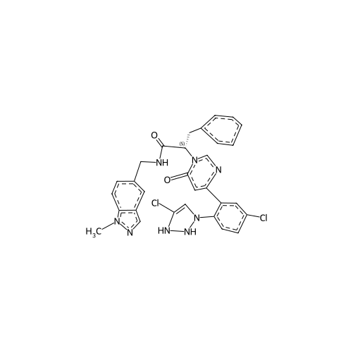 Cn1ncc2cc(CNC(=O)[C@H](Cc3ccccc3)n3cnc(-c4cc(Cl)ccc4N4C=C(Cl)NN4)cc3=O)ccc21